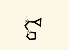 C[C@@H](CN1CCCC1)C1CC1